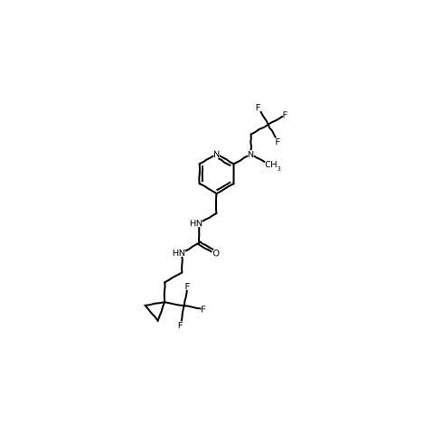 CN(CC(F)(F)F)c1cc(CNC(=O)NCCC2(C(F)(F)F)CC2)ccn1